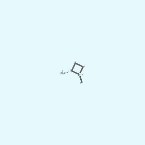 CC(C)[C@@H]1CCN1C